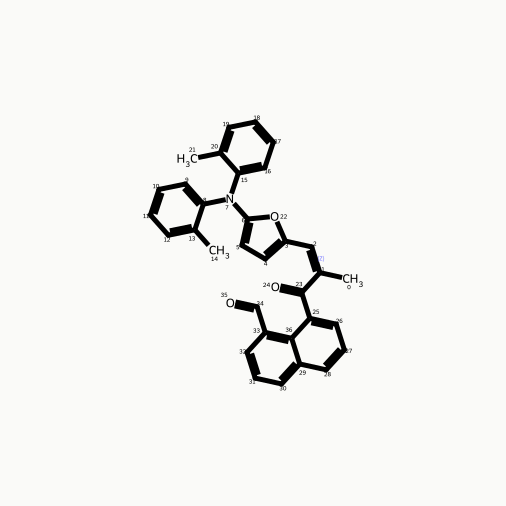 C/C(=C/c1ccc(N(c2ccccc2C)c2ccccc2C)o1)C(=O)c1cccc2cccc(C=O)c12